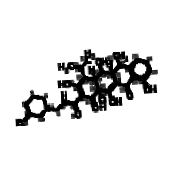 CCC1CCCN(CNC(=O)C2=C(O)[C@@H](N(C)C)[C@@H]3[C@@H](O)[C@H]4C(=C(O)[C@]3(O)C2=O)C(=O)c2c(O)cccc2[C@@H]4C)C1